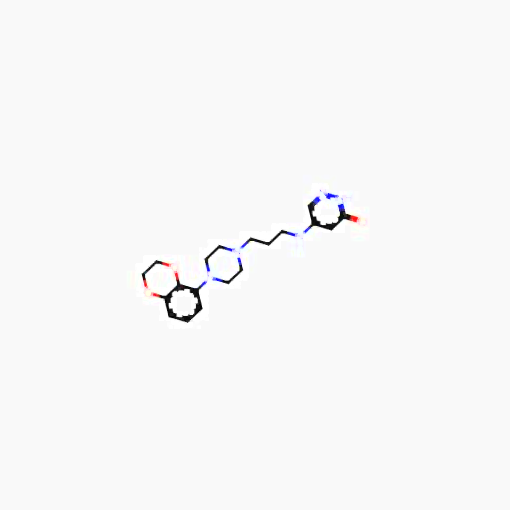 O=c1cc(NCCCN2CCN(c3cccc4c3OCCO4)CC2)cn[nH]1